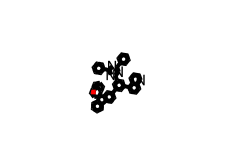 c1ccc(-c2nc(-c3ccccc3)nc(-c3cc(-c4ccc5c(c4)C4(c6ccccc6-5)C5CC6CC(C5)CC4C6)cc(-c4cccc5ncccc45)c3)n2)cc1